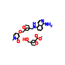 COC(=O)C12CC(CO)(CCO1)C2.Cn1ccc(OCC23CC(CNc4cccc5c(N)nccc45)(CCO2)C3)cc1=O